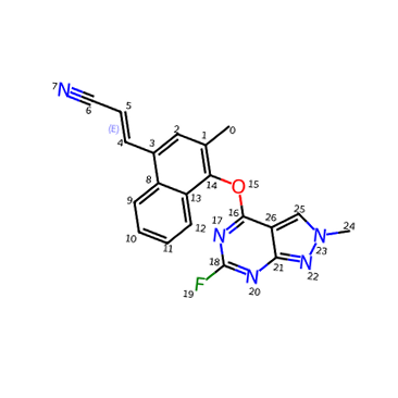 Cc1cc(/C=C/C#N)c2ccccc2c1Oc1nc(F)nc2nn(C)cc12